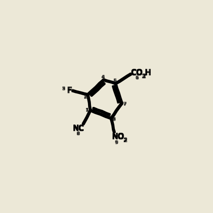 N#Cc1c(F)cc(C(=O)O)cc1[N+](=O)[O-]